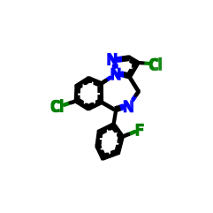 Fc1ccccc1C1=NCc2c(Cl)cnn2-c2ccc(Cl)cc21